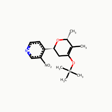 CC1=C(O[Si](C)(C)C)C[C@H](c2ccncc2[N+](=O)[O-])O[C@@H]1C